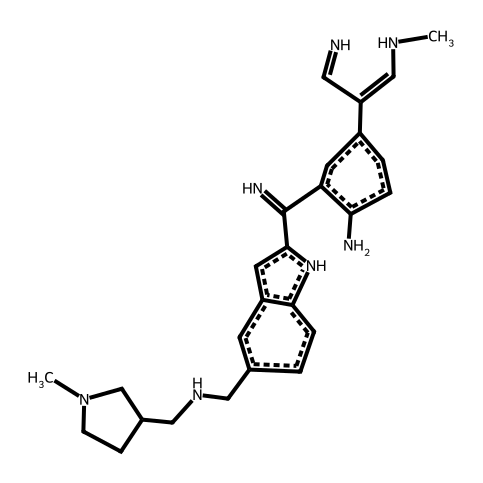 CN/C=C(\C=N)c1ccc(N)c(C(=N)c2cc3cc(CNCC4CCN(C)C4)ccc3[nH]2)c1